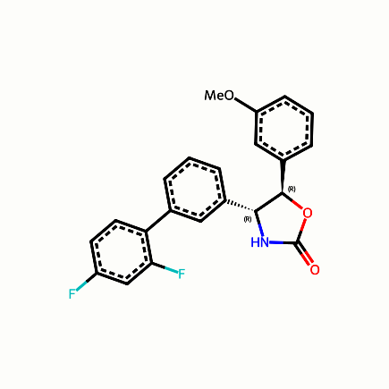 COc1cccc([C@H]2OC(=O)N[C@@H]2c2cccc(-c3ccc(F)cc3F)c2)c1